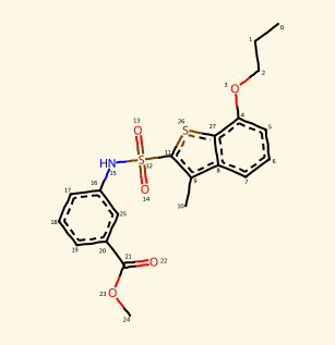 CCCOc1cccc2c(C)c(S(=O)(=O)Nc3cccc(C(=O)OC)c3)sc12